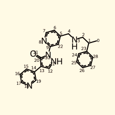 CC(CNCc1ccnc(-n2[nH]cc(-c3cccnc3)c2=O)c1)c1ccccc1